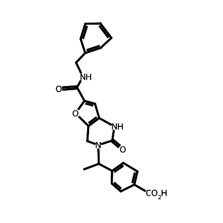 CC(c1ccc(C(=O)O)cc1)N1Cc2oc(C(=O)NCc3ccccc3)cc2NC1=O